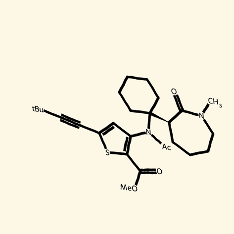 COC(=O)c1sc(C#CC(C)(C)C)cc1N(C(C)=O)C1([C@@H]2CCCCN(C)C2=O)CCCCC1